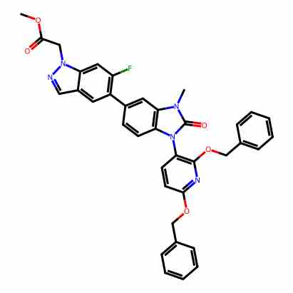 COC(=O)Cn1ncc2cc(-c3ccc4c(c3)n(C)c(=O)n4-c3ccc(OCc4ccccc4)nc3OCc3ccccc3)c(F)cc21